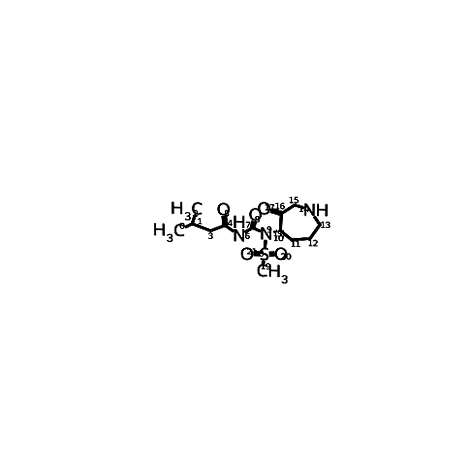 CC(C)CC(=O)NC(=O)N([C@H]1CCCNCC1=O)S(C)(=O)=O